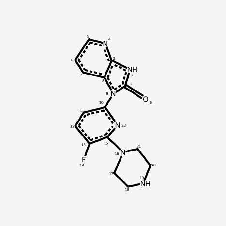 O=c1[nH]c2ncccc2n1-c1ccc(F)c(N2CCNCC2)n1